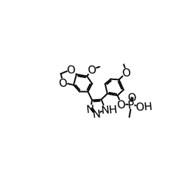 COc1ccc(-c2[nH]nnc2-c2cc(OC)c3c(c2)OCO3)c(OP(C)(=O)O)c1